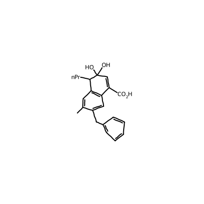 CCCC1c2cc(C)c(Cc3ccccc3)cc2C(C(=O)O)=CC1(O)O